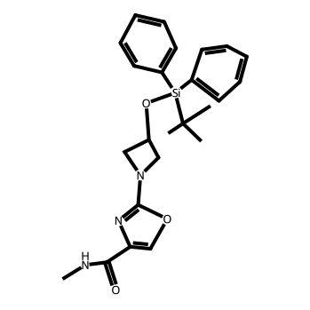 CNC(=O)c1coc(N2CC(O[Si](c3ccccc3)(c3ccccc3)C(C)(C)C)C2)n1